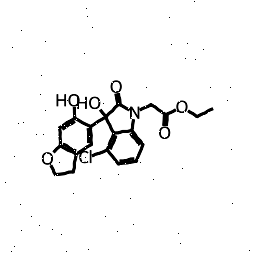 CCOC(=O)CN1C(=O)C(O)(c2cc3c(cc2O)OCC3)c2c(Cl)cccc21